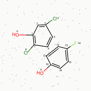 Oc1cc(Cl)ccc1Cl.Oc1ccc(F)cc1